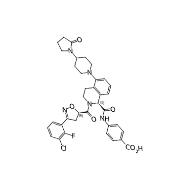 O=C(O)c1ccc(NC(=O)[C@@H]2c3cccc(N4CCC(N5CCCC5=O)CC4)c3CCN2C(=O)[C@H]2CC(c3cccc(Cl)c3F)=NO2)cc1